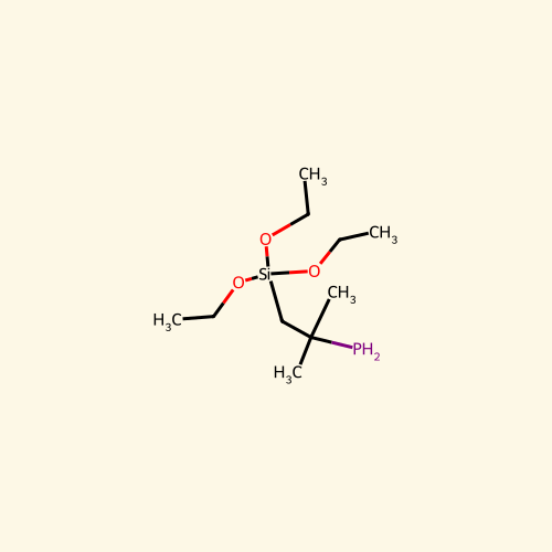 CCO[Si](CC(C)(C)P)(OCC)OCC